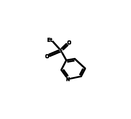 [CH2]CS(=O)(=O)c1cccnc1